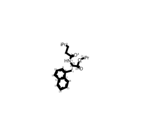 CC(C)CCC(=O)N[C@@H](Cc1cccc2ccccc12)C(=O)OC(C)C